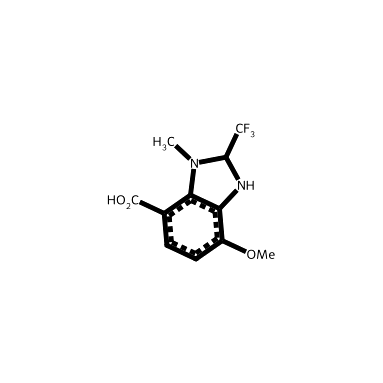 COc1ccc(C(=O)O)c2c1NC(C(F)(F)F)N2C